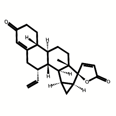 C=C[C@@H]1CC2=CC(=O)CC[C@@H]2[C@H]2CC[C@@]3(C)[C@@H]([C@@H]4C[C@@H]4[C@@]34C=CC(=O)O4)[C@@H]21